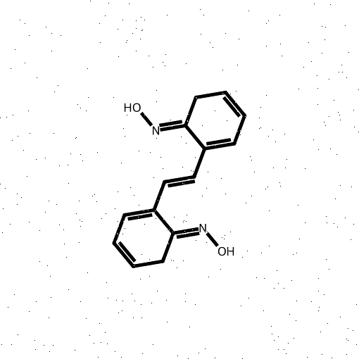 ON=C1CC=CC=C1C=CC1=CC=CCC1=NO